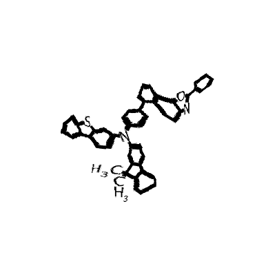 CC1(C)c2ccccc2-c2ccc(N(c3ccc(-c4cccc5c4=CCC4N=C(c6ccccc6)OC=54)cc3)c3ccc4c(c3)sc3ccccc34)cc21